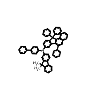 CC1(C)c2ccccc2-c2ccc(N(c3ccc(-c4ccccc4)cc3)c3ccc4c(c3)-c3c(-c5ccccc5)cc5ccccc5c3C4(c3ccccc3)c3ccccc3)cc21